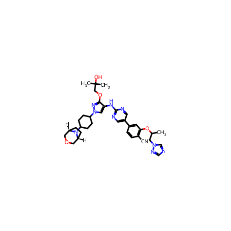 CC(Cn1cncn1)Oc1cc(-c2cnc(Nc3cn(C4CCC(N5[C@@H]6CC[C@H]5COC6)CC4)nc3OCC(C)(C)O)nc2)ccc1C#N